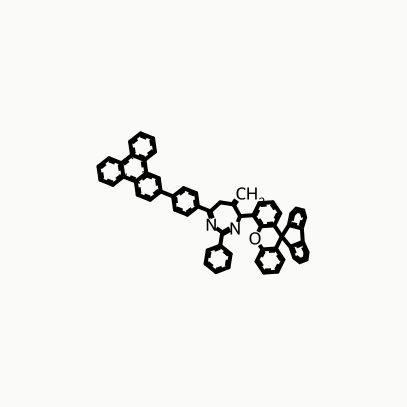 C=C1CC(c2ccc(-c3ccc4c5ccccc5c5ccccc5c4c3)cc2)=NC(c2ccccc2)=NC1c1cccc2c1Oc1ccccc1C21c2ccccc2-c2ccccc21